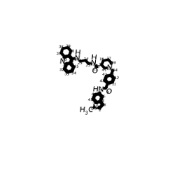 Cn1ccc2cc(NC(=O)c3ccc(CN4CCC[C@@H](C(=O)NCCCNc5c6c(nc7ccccc57)CCCC6)C4)cc3)ccc21